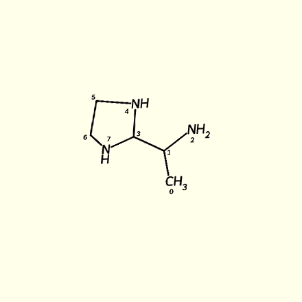 CC(N)C1NCCN1